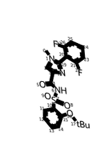 Cn1cc(C(=O)NS(=O)(=O)c2ccccc2OC(C)(C)C)nc1-c1c(F)cccc1F